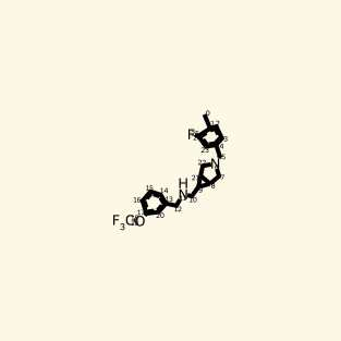 Cc1ccc(CN2CC3C(CNCc4cccc(OC(F)(F)F)c4)C3C2)cc1F